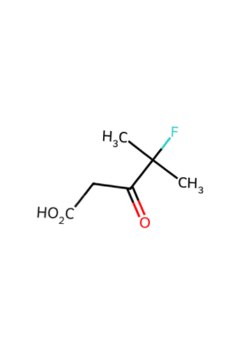 CC(C)(F)C(=O)CC(=O)O